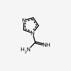 N=C(N)n1ccnc1